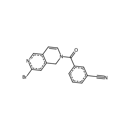 N#Cc1cccc(C(=O)N2C=Cc3cnc(Br)cc3C2)c1